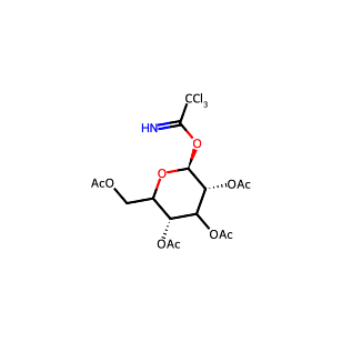 CC(=O)OCC1O[C@@H](OC(=N)C(Cl)(Cl)Cl)[C@H](OC(C)=O)C(OC(C)=O)[C@@H]1OC(C)=O